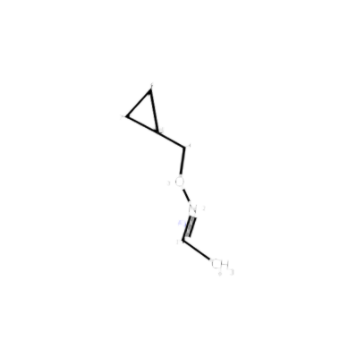 C/[C]=N/OCC1CC1